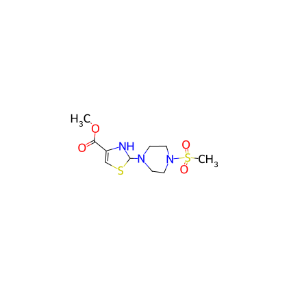 COC(=O)C1=CSC(N2CCN(S(C)(=O)=O)CC2)N1